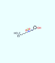 CCC(CCCCCN(C/C=C/c1cccc(O)c1)S(C)(=O)=O)C(=O)O